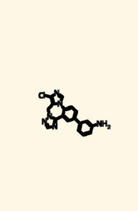 Nc1cccc(-c2ccc3c(c2)-c2ncnn2Cc2c(Cl)ncn2-3)c1